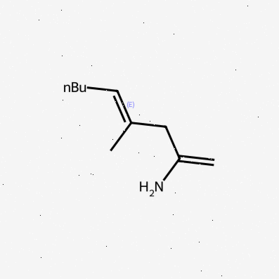 C=C(N)C/C(C)=C/CCCC